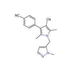 Cc1c(C#N)c(-c2ccc(C#N)cc2)c(C)n1Cc1ccnn1C